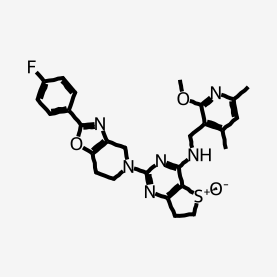 COc1nc(C)cc(C)c1CNc1nc(N2CCc3oc(-c4ccc(F)cc4)nc3C2)nc2c1[S@+]([O-])CC2